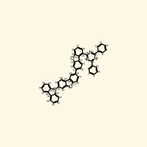 c1ccc(-c2nc(-c3ccccc3)nc(-c3cccc4oc5cc(-c6ccc7oc8cc(-n9c%10ccccc%10c%10ccccc%109)ccc8c7c6)ccc5c34)n2)cc1